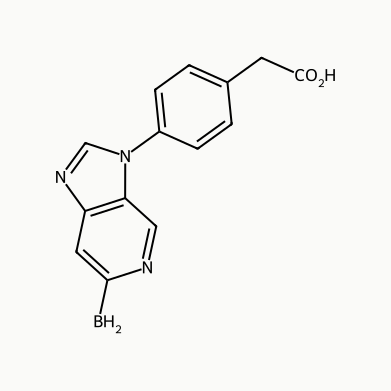 Bc1cc2ncn(-c3ccc(CC(=O)O)cc3)c2cn1